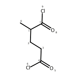 CC(CCC(=O)Cl)C(=O)Cl